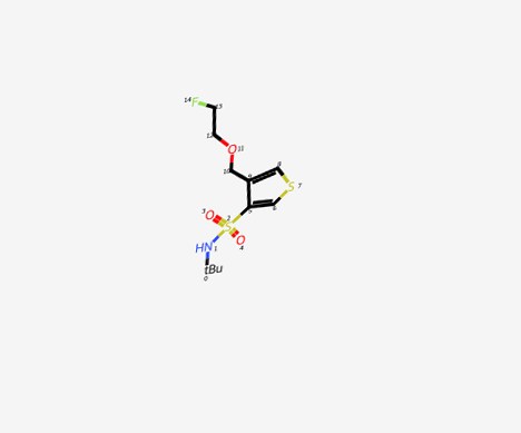 CC(C)(C)NS(=O)(=O)c1cscc1COCCF